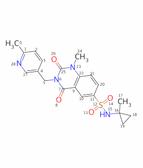 Cc1ccc(Cn2c(=O)c3cc(S(=O)(=O)NC4(C)CC4)ccc3n(C)c2=O)cn1